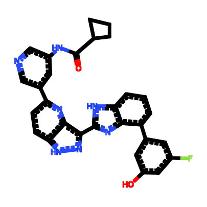 O=C(Nc1cncc(-c2ccc3[nH]nc(-c4nc5c(-c6cc(O)cc(F)c6)cccc5[nH]4)c3n2)c1)C1CCC1